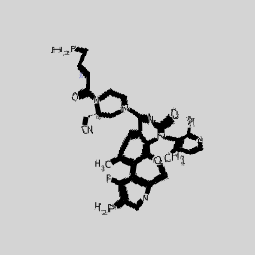 Cc1cc2c(N3CCN(C(=O)/C=C/CP)[C@@H](CC#N)C3)nc(=O)n(-c3c(C)ccnc3C(C)C)c2c2c1-c1c(ncc(P)c1F)CO2